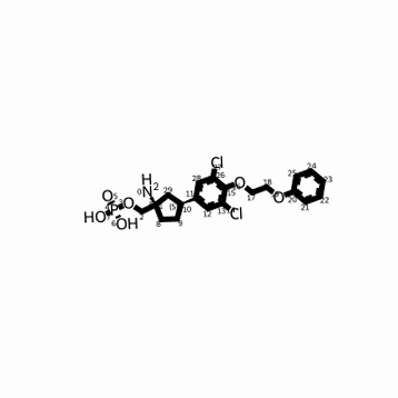 N[C@]1(COP(=O)(O)O)CC[C@H](c2cc(Cl)c(OCCOc3ccccc3)c(Cl)c2)C1